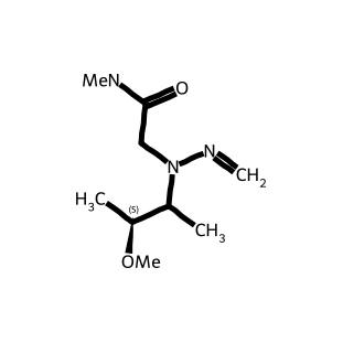 C=NN(CC(=O)NC)C(C)[C@H](C)OC